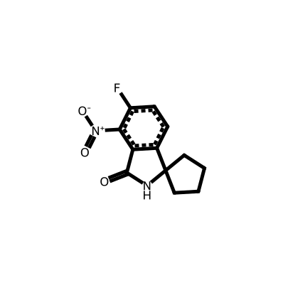 O=C1NC2(CCCC2)c2ccc(F)c([N+](=O)[O-])c21